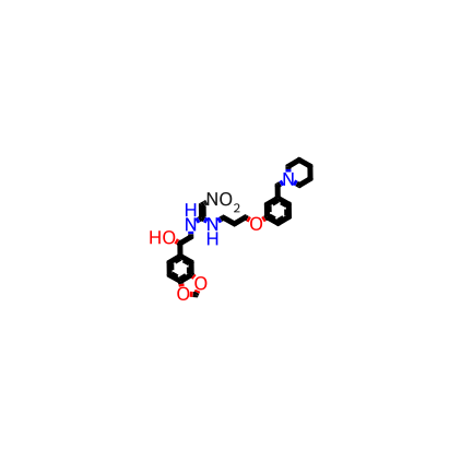 O=[N+]([O-])C=C(NCCCOc1cccc(CN2CCCCC2)c1)NCC(O)c1ccc2c(c1)OCO2